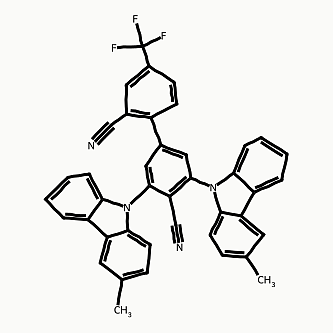 Cc1ccc2c(c1)c1ccccc1n2-c1cc(-c2ccc(C(F)(F)F)cc2C#N)cc(-n2c3ccccc3c3cc(C)ccc32)c1C#N